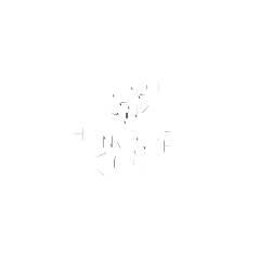 Cc1cc(C2CN(C(=O)c3cn(C)c4ccccc34)CC(F)(F)C2)n2ncnc2n1